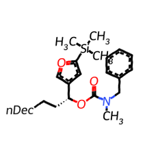 CCCCCCCCCCCC[C@@H](OC(=O)N(C)Cc1ccccc1)c1coc([Si](C)(C)C)c1